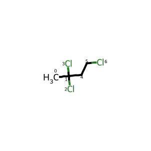 CC(Cl)(Cl)CCCl